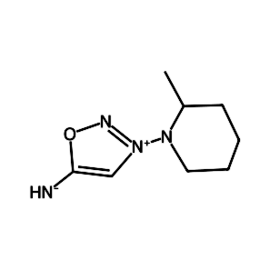 CC1CCCCN1[n+]1cc([NH-])on1